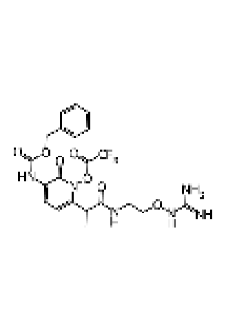 CC(C(=O)NCCONC(=N)N)c1ccc(NC(=O)OCc2ccccc2)c(=O)n1OC(=O)C(F)(F)F